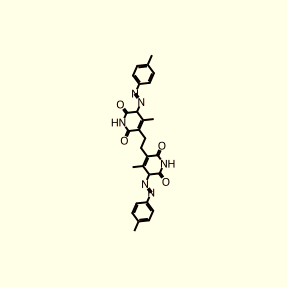 CC1=C(CCC2=C(C)C(N=Nc3ccc(C)cc3)C(=O)NC2=O)C(=O)NC(=O)C1N=Nc1ccc(C)cc1